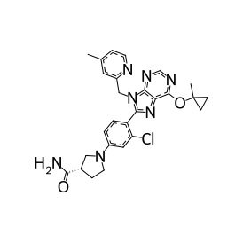 Cc1ccnc(Cn2c(-c3ccc(N4CC[C@H](C(N)=O)C4)cc3Cl)nc3c(OC4(C)CC4)ncnc32)c1